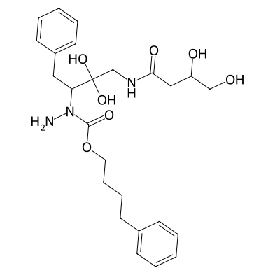 NN(C(=O)OCCCCc1ccccc1)C(Cc1ccccc1)C(O)(O)CNC(=O)CC(O)CO